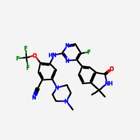 CN1CCN(c2cc(Nc3ncc(F)c(-c4ccc5c(c4)C(=O)NC5(C)C)n3)c(OC(F)(F)F)cc2C#N)CC1